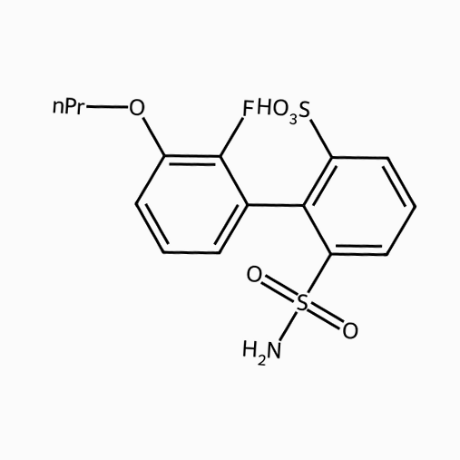 CCCOc1cccc(-c2c(S(N)(=O)=O)cccc2S(=O)(=O)O)c1F